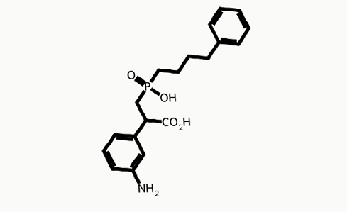 Nc1cccc(C(CP(=O)(O)CCCCc2ccccc2)C(=O)O)c1